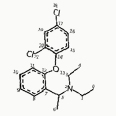 CCN(CC)C(C)c1ccccc1Oc1ccc(Cl)cc1Cl